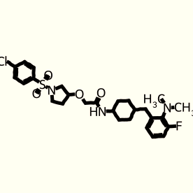 CN(C)c1c(F)cccc1CC1CCC(NC(=O)COC2CCN(S(=O)(=O)c3ccc(Cl)cc3)C2)CC1